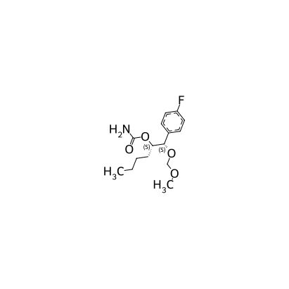 CCCC[C@H](OC(N)=O)[C@@H](OCOC)c1ccc(F)cc1